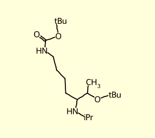 CC(C)NC(CCCCNC(=O)OC(C)(C)C)C(C)OC(C)(C)C